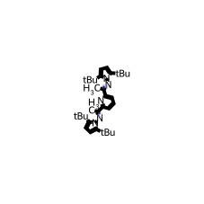 C/C(=N\n1c(C(C)(C)C)ccc1C(C)(C)C)c1cccc(/C(C)=N/n2c(C(C)(C)C)ccc2C(C)(C)C)n1